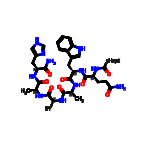 CCCCCCCC(=O)N[C@@H](CCC(N)=O)C(=O)N[C@@H](Cc1c[nH]c2ccccc12)C(=O)N[C@@H](C)C(=O)N[C@H](C(=O)N[C@@H](C)C(=O)N[C@@H](Cc1c[nH]cn1)C(N)=O)C(C)C